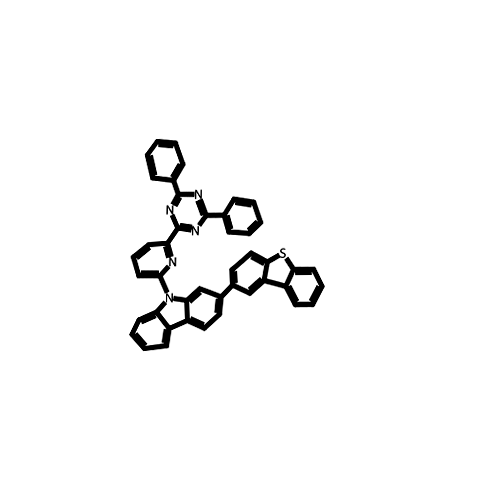 c1ccc(-c2nc(-c3ccccc3)nc(-c3cccc(-n4c5ccccc5c5ccc(-c6ccc7sc8ccccc8c7c6)cc54)n3)n2)cc1